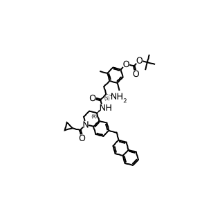 Cc1cc(OC(=O)OC(C)(C)C)cc(C)c1C[C@H](N)C(=O)N[C@@H]1CCN(C(=O)C2CC2)c2ccc(Cc3ccc4ccccc4c3)cc21